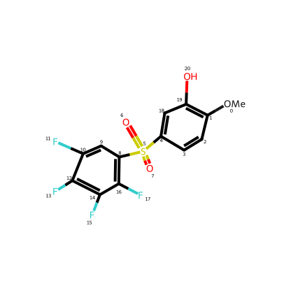 COc1ccc(S(=O)(=O)c2cc(F)c(F)c(F)c2F)cc1O